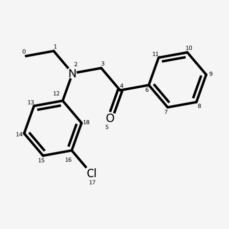 CCN(CC(=O)c1ccccc1)c1cccc(Cl)c1